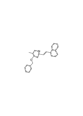 Cc1cnc(C=Cc2cccc3ccccc23)cc1OCc1ccccc1